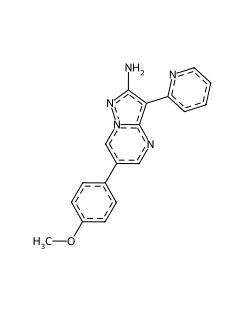 COc1ccc(-c2cnc3c(-c4ccccn4)c(N)nn3c2)cc1